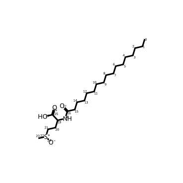 CCCCCCCCCCCCCCCCC(=O)NC(CC[S+](C)[O-])C(=O)O